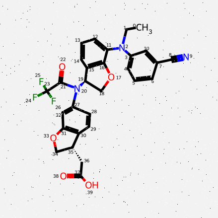 CCN(c1cccc(C#N)c1)c1cccc2c1OC[C@H]2N(C(=O)C(F)(F)F)c1ccc2c(c1)OC[C@H]2CC(=O)O